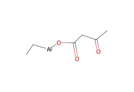 C[CH2][Al][O]C(=O)CC(C)=O